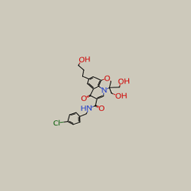 O=C(NCc1ccc(Cl)cc1)c1cn2c3c(cc(CCCO)cc3c1=O)OCC2(CO)CO